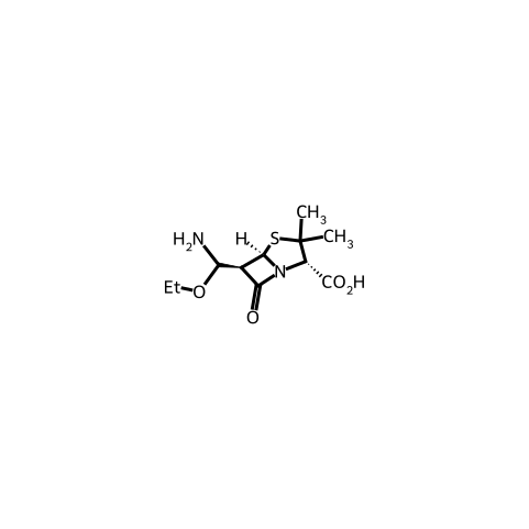 CCOC(N)[C@@H]1C(=O)N2[C@@H]1SC(C)(C)[C@@H]2C(=O)O